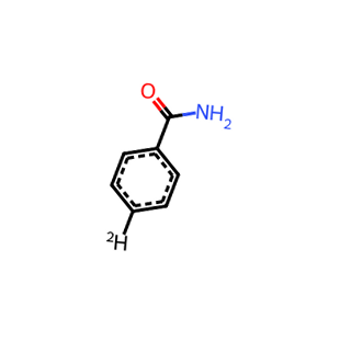 [2H]c1ccc(C(N)=O)cc1